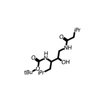 CC(C)CC(=O)NCC(O)C(CC(C)C)NC(=O)OC(C)(C)C